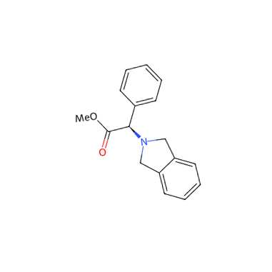 COC(=O)[C@@H](c1ccccc1)N1Cc2ccccc2C1